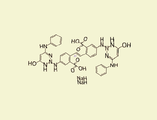 O=S(=O)(O)c1cc(NN2N=C(Nc3ccccc3)C=C(O)N2)ccc1/C=C/c1ccc(NN2N=C(Nc3ccccc3)C=C(O)N2)cc1S(=O)(=O)O.[NaH].[NaH]